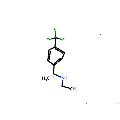 CCN[C@H](C)c1ccc(C(F)(F)F)cc1